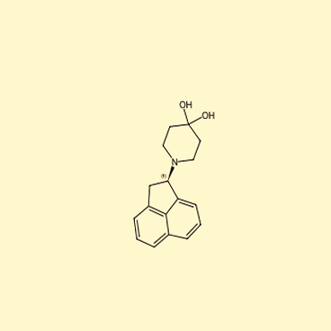 OC1(O)CCN([C@@H]2Cc3cccc4cccc2c34)CC1